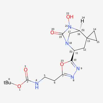 CC(C)(C)OC(=O)NCCc1nnc([C@@H]2CC3(CC3)[C@H]3CN2C(=O)N3O)o1